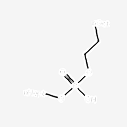 CCCCCCCCCCOP(=O)(O)OCCCCCCC